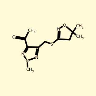 CC(=O)c1nn(C)nc1CSC1=NOC(C)(C)C1